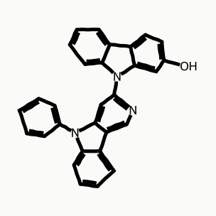 Oc1ccc2c3ccccc3n(-c3cc4c(cn3)c3ccccc3n4-c3ccccc3)c2c1